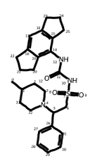 CC1CCN(C(CS(=O)(=O)NC(=O)Nc2c3c(cc4c2CCC4)CCC3)c2ccccc2)CC1